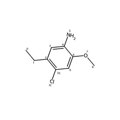 CCc1cc(N)c(OC)cc1Cl